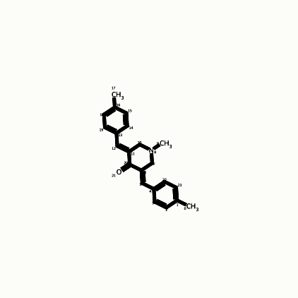 Cc1ccc(C=C2CN(C)CC(=Cc3ccc(C)cc3)C2=O)cc1